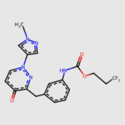 Cn1cc(-n2ccc(=O)c(Cc3cccc(NC(=O)OCCC(F)(F)F)c3)n2)cn1